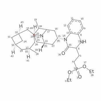 CCOP(=O)(CCC1Nc2ccccc2N([C@H]2CC3C(C)CC[C@@H](C2)N3[C@H]2C[C@@H](C)C[C@H]3C[C@@H](C2)C3)C1=O)OCC